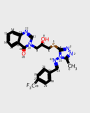 Cc1nnc(SCC(O)Cn2cnc3ccccc3c2=O)n1N=Cc1ccc(C(F)(F)F)cc1